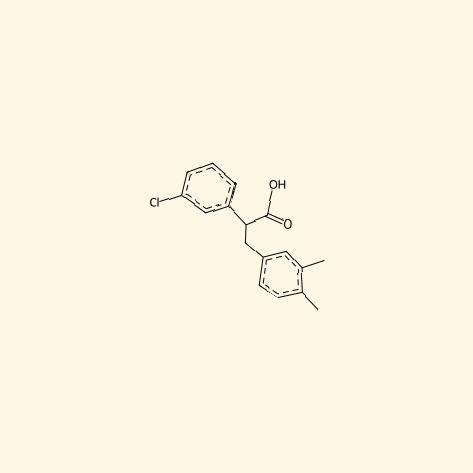 Cc1ccc(CC(C(=O)O)c2cccc(Cl)c2)cc1C